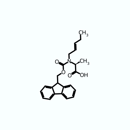 CCC=CCN(C(=O)OCC1c2ccccc2-c2ccccc21)[C@@H](C)C(=O)O